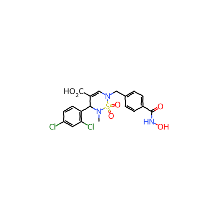 CN1C(c2ccc(Cl)cc2Cl)C(C(=O)O)=CN(Cc2ccc(C(=O)NO)cc2)S1(=O)=O